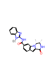 CCn1c(NC(=O)c2ccc3cc4n(c3c2)[C@H](C)[C@H](C)NC4=O)nc2ccccc21